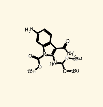 CC(C)(C)OC(=O)n1c(NC(OC(C)(C)C)OC(C)(C)C)c(C(N)=O)c2ccc(N)cc21